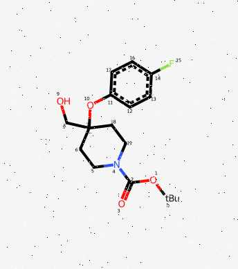 CC(C)(C)OC(=O)N1CCC(CO)(Oc2ccc(F)cc2)CC1